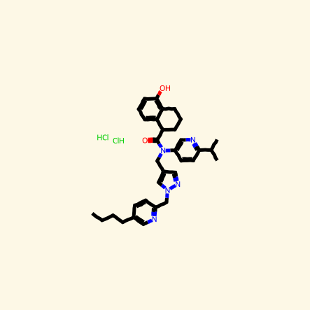 CCCCc1ccc(Cn2cc(CN(C(=O)C3CCCc4c(O)cccc43)c3ccc(C(C)C)nc3)cn2)nc1.Cl.Cl